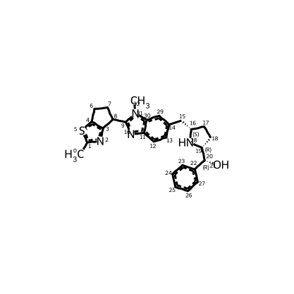 Cc1nc2c(s1)CCC2c1nc2ccc(C[C@@H]3CC[C@H]([C@H](O)c4ccccc4)N3)cc2n1C